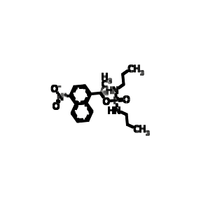 CCCNP(=O)(NCCC)O[C@@H](C)c1ccc([N+](=O)[O-])c2ccccc12